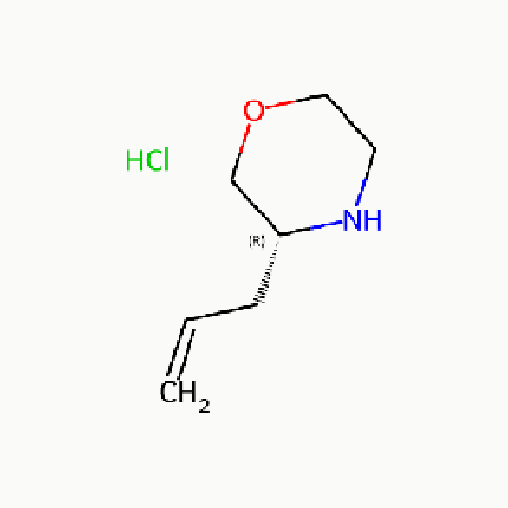 C=CC[C@@H]1COCCN1.Cl